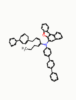 CCC/C=C(\C=C/CC1=CC=C(c2ccccc2)C=CC1)N(c1ccc(-c2ccc(-c3ccccc3)cc2)cc1)c1cc2ccccc2c2c1oc1ccccc12